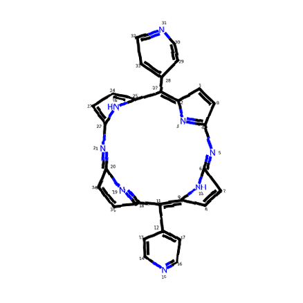 C1=Cc2nc1nc1ccc([nH]1)c(-c1ccncc1)c1nc(nc3ccc([nH]3)c2-c2ccncc2)C=C1